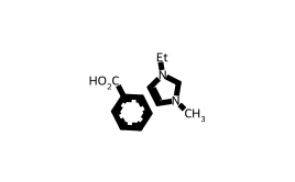 CCN1C=CN(C)C1.O=C(O)c1ccccc1